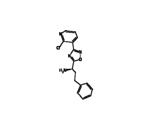 N[C@H](CCc1ccccc1)c1nc(-c2cccnc2Cl)no1